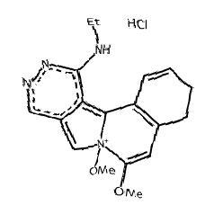 CCNc1nncc2c1=C1C3=C(C=C(OC)[N+]1(OC)C=2)CCC=C3.Cl